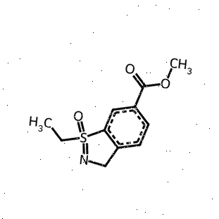 CCS1(=O)=NCc2ccc(C(=O)OC)cc21